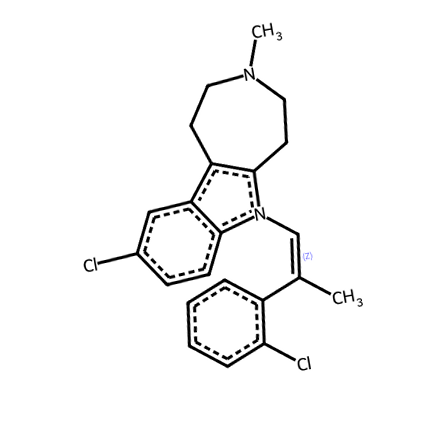 C/C(=C/n1c2c(c3cc(Cl)ccc31)CCN(C)CC2)c1ccccc1Cl